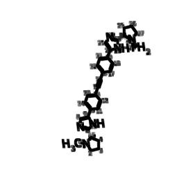 CN1CCC[C@H]1c1ncc(-c2ccc(C#Cc3ccc(-c4cnc([C@@H]5CCCN5P)[nH]4)cc3)cc2)[nH]1